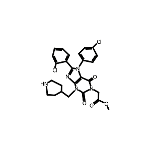 COC(=O)Cn1c(=O)c2c(nc(-c3ccccc3Cl)n2-c2ccc(Cl)cc2)n(CC2CCNCC2)c1=O